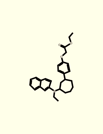 CCOC(=O)COc1ccc(C2CCCCC(N(CC)c3ccc4ccccc4c3)C2)cc1